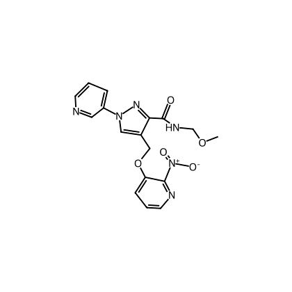 COCNC(=O)c1nn(-c2cccnc2)cc1COc1cccnc1[N+](=O)[O-]